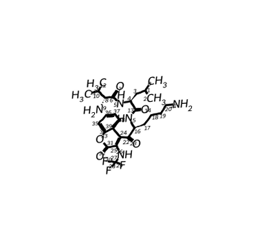 CC(C)C[C@H](NC(=O)[C@H](N)C(C)C)C(=O)N[C@@H](CCCCN)C(=O)c1c(NC(F)(F)F)c(=O)oc2ccccc12